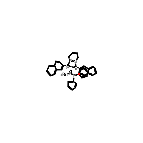 CCCCN(P(c1ccccc1)c1ccccc1)P1[C@H](c2ccc3ccccc3c2)N2CCCCN2[C@H]1c1ccc2ccccc2c1